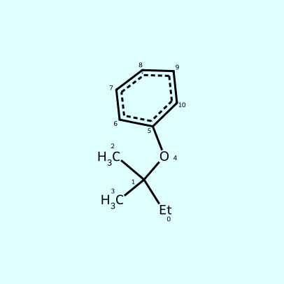 CCC(C)(C)Oc1cc[c]cc1